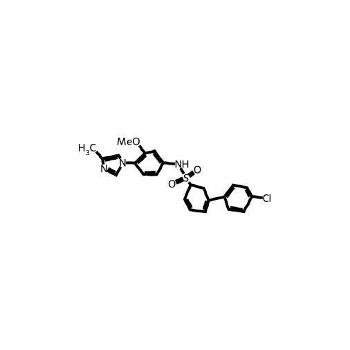 COc1cc(NS(=O)(=O)C2C=CC=C(c3ccc(Cl)cc3)C2)ccc1-n1cnc(C)c1